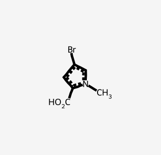 Cn1cc(Br)cc1C(=O)O